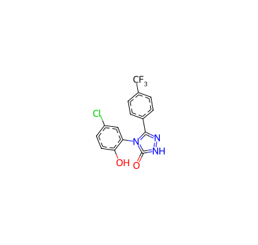 O=c1[nH]nc(-c2ccc(C(F)(F)F)cc2)n1-c1cc(Cl)ccc1O